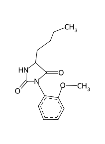 CCCCC1NC(=O)N(c2ccccc2OC)C1=O